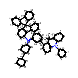 CC1(C)c2ccccc2N(c2ccccc2)c2cccc(-c3cccc(N(c4ccc(-c5ccccc5)cc4)c4cccc5c4-c4ccccc4C54c5ccccc5-c5ccccc54)c3)c21